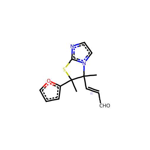 CC1(c2ccco2)Sc2nccn2C1(C)/C=C/C=O